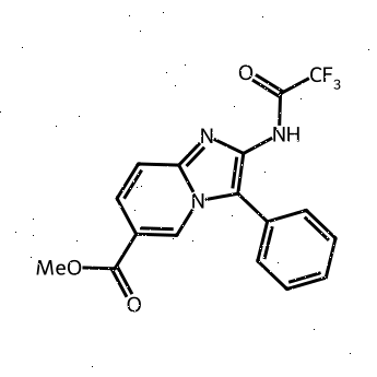 COC(=O)c1ccc2nc(NC(=O)C(F)(F)F)c(-c3ccccc3)n2c1